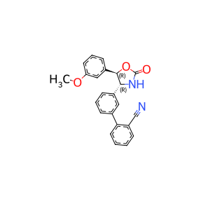 COc1cccc([C@H]2OC(=O)N[C@@H]2c2cccc(-c3ccccc3C#N)c2)c1